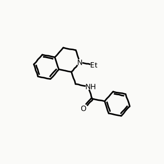 CCN1CCc2ccccc2C1CNC(=O)c1ccccc1